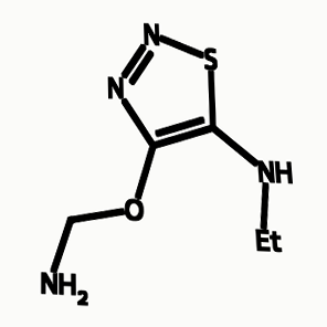 CCNc1snnc1OCN